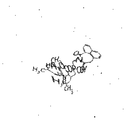 CNC(=O)[C@H](CC(C)C)NC(=O)C(CC(C)C)CP(=O)(O)CN1C(=O)Cc2cccc3cccc(c23)C1=O